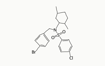 CC1CCC(C)C(N(Cc2ccc(Br)cc2)S(=O)(=O)c2ccc(Cl)cc2)C1